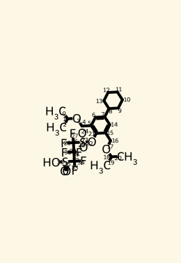 CC(C)OCc1cc(C2CCCCC2)cc(COC(C)C)c1OS(=O)(=O)C(F)(F)C(F)(F)C(F)(F)S(=O)(=O)O